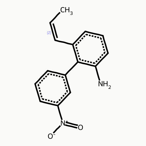 C/C=C\c1cccc(N)c1-c1cccc([N+](=O)[O-])c1